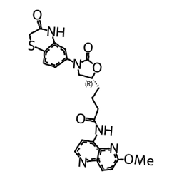 COc1ccc2nccc(NC(=O)CCC[C@@H]3CN(c4ccc5c(c4)NC(=O)CS5)C(=O)O3)c2n1